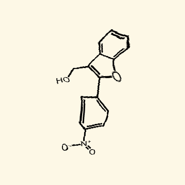 O=[N+]([O-])c1ccc(-c2oc3ccccc3c2CO)cc1